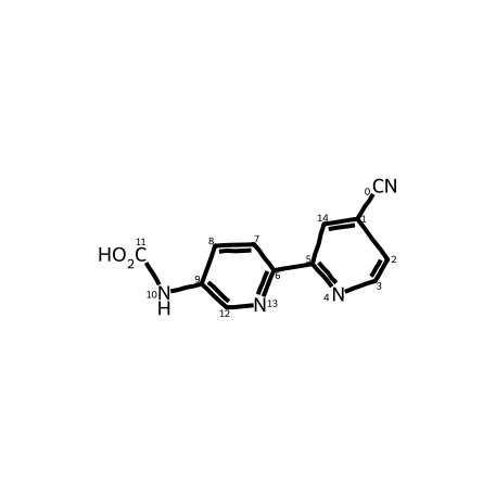 N#Cc1ccnc(-c2ccc(NC(=O)O)cn2)c1